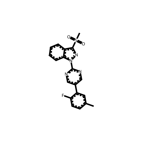 Cc1ccc(F)c(-c2cnc(-n3nc(S(C)(=O)=O)c4cc[c]cc43)nc2)c1